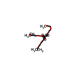 CCCCC/C=C\C/C=C\CCCCCCCC(=O)OCC(COC(=O)CCCCCCCCCCCCCC(C)C)COC(=O)CCCCCCCCCCCCCC(C)C